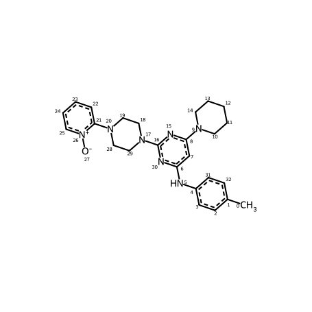 Cc1ccc(Nc2cc(N3CCCCC3)nc(N3CCN(c4cccc[n+]4[O-])CC3)n2)cc1